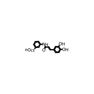 CCCCCCCCc1cccc(NC(=O)C=Cc2ccc(O)c(O)c2)c1